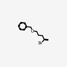 C=C(Br)CCCOCc1ccccc1